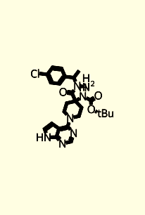 CC(c1ccc(Cl)cc1)N(N)C(=O)C1(NC(=O)OC(C)(C)C)CCN(c2ncnc3[nH]ccc23)CC1